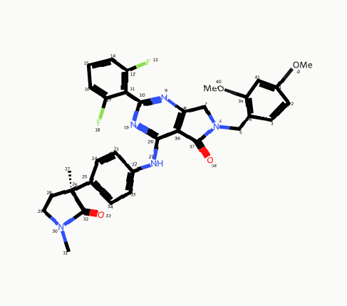 COc1ccc(CN2Cc3nc(-c4c(F)cccc4F)nc(Nc4ccc([C@]5(C)CCN(C)C5=O)cc4)c3C2=O)c(OC)c1